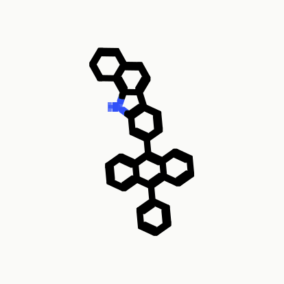 C1=Cc2ccc3c([nH]c4cc(-c5c6ccccc6c(-c6ccccc6)c6ccccc56)ccc43)c2CC1